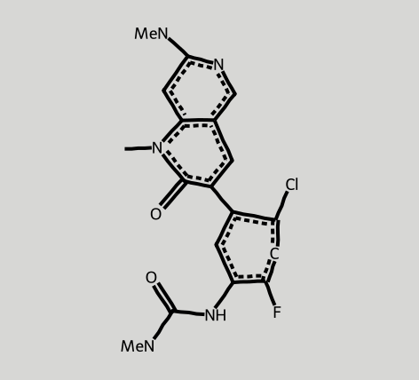 CNC(=O)Nc1cc(-c2cc3cnc(NC)cc3n(C)c2=O)c(Cl)cc1F